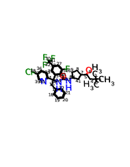 CC(C)(C)CC(=O)C1CC[C@@H](NC(=O)N[C@@](Cc2ccccc2)(c2cc(F)cc(C(F)(F)F)c2)c2ccc(Cl)cn2)C1